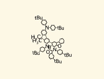 CC(C)(C)c1ccc(N2B3c4oc5ccc(C(C)(C)C)cc5c4N(c4ccc(C(C)(C)C)cc4)c4c3c(cc3c4oc4ccccc43)-c3cc4c(cc32)C(C)(C)c2ccc(N(c3ccc(C(C)(C)C)cc3)c3ccc(C(C)(C)C)cc3)cc2-4)cc1